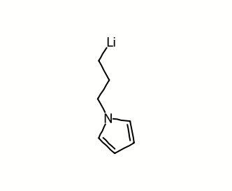 [Li][CH2]CCn1cccc1